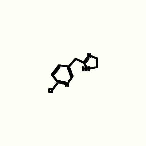 Clc1ccc(CC2=NCCN2)cn1